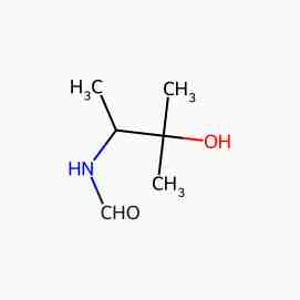 CC(NC=O)C(C)(C)O